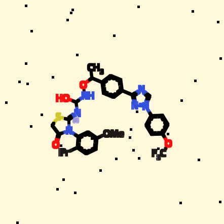 COc1ccc(C(C)C)c(N2C(=O)CS/C2=N\C(O)NOC(C)c2ccc(-c3ncn(-c4ccc(OC(F)(F)F)cc4)n3)cc2)c1